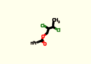 CCCC(=O)OCC(Cl)C(C)Cl